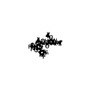 N[C@@]1(C(F)(F)F)COc2c1cc([C@@](O)(CNC(=O)c1cc(OC3CC3)c3nn(C4CC4)cc3c1)C1CC1)nc2-c1ccc(F)c(F)c1